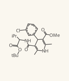 COC(=O)C1=C(C)NC(C)=C(C(=O)NC(C(=O)OC(C)(C)C)C(C)C)C1c1cccc(Cl)c1